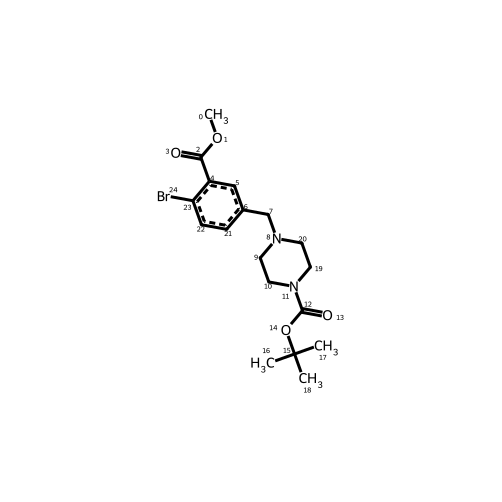 COC(=O)c1cc(CN2CCN(C(=O)OC(C)(C)C)CC2)ccc1Br